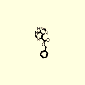 O=C(OCc1ccccc1)c1ncnc2[nH]cnc12